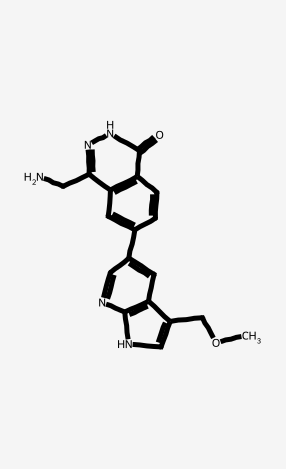 COCc1c[nH]c2ncc(-c3ccc4c(=O)[nH]nc(CN)c4c3)cc12